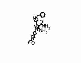 C=CC(=O)N1CC2(CC(n3nc(-c4cnn(Cc5ccccc5)c4)c(C(N)=O)c3N)C2)C1